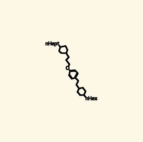 CCCCCCCC1CCC(CCCOc2ccc(CCC3CCC(CCCCCC)CC3)cc2)CC1